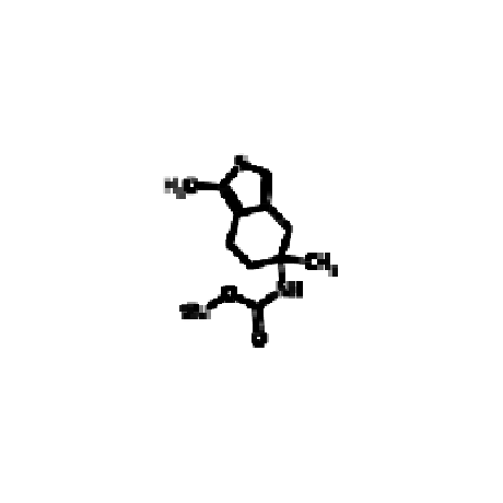 Cc1scc2c1CCC(C)(NC(=O)OC(C)(C)C)C2